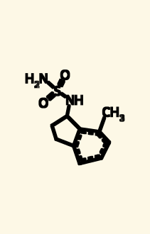 Cc1cccc2c1C(NS(N)(=O)=O)CC2